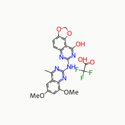 COc1cc(OC)c2nc(Nc3nc(O)c4c5c(ccc4n3)OCO5)nc(C)c2c1.O=C(O)C(F)(F)F